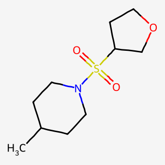 CC1CCN(S(=O)(=O)C2CCOC2)CC1